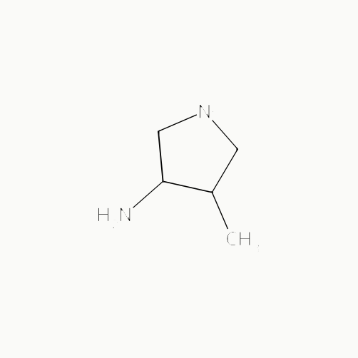 CC1C[N]CC1N